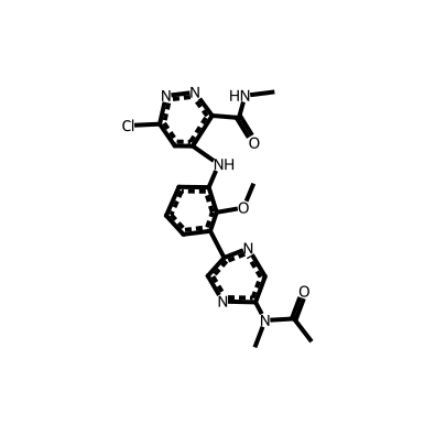 CNC(=O)c1nnc(Cl)cc1Nc1cccc(-c2cnc(N(C)C(C)=O)cn2)c1OC